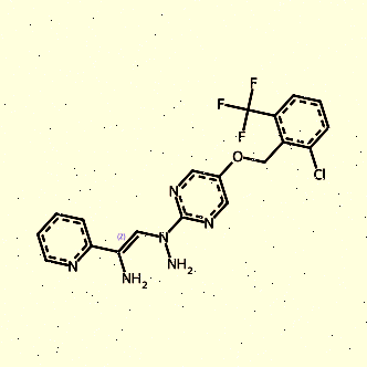 N/C(=C\N(N)c1ncc(OCc2c(Cl)cccc2C(F)(F)F)cn1)c1ccccn1